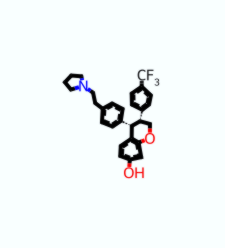 Oc1ccc2c(c1)OC[C@@H](c1ccc(C(F)(F)F)cc1)[C@H]2c1ccc(CCN2CCCC2)cc1